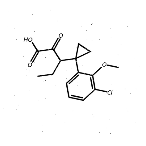 CCC(C(=O)C(=O)O)C1(c2cccc(Cl)c2OC)CC1